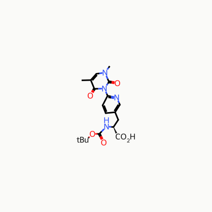 Cc1cn(C)c(=O)n(-c2ccc(C[C@H](NC(=O)OC(C)(C)C)C(=O)O)cn2)c1=O